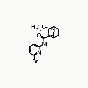 O=C(Nc1cccc(Br)n1)C1C2CCC(CC2)N1C(=O)O